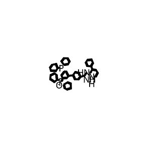 N=C(NC1NC=CC=C1c1ccccc1)c1ccc(-c2cc(P(c3ccccc3)c3ccccc3)cc(P(=O)(c3ccccc3)c3ccccc3)c2)cc1